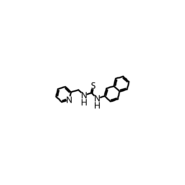 S=C(NCc1ccccn1)Nc1ccc2ccccc2c1